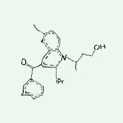 Cc1ccc2c(c1)c(C(=O)c1ccccc1)c(C(C)C)n2C(C)CCO